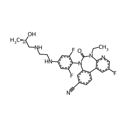 CCN1C(=O)N(c2c(F)cc(NCCNC[C@@H](C)O)cc2F)c2cc(C#N)ccc2-c2cc(F)cnc21